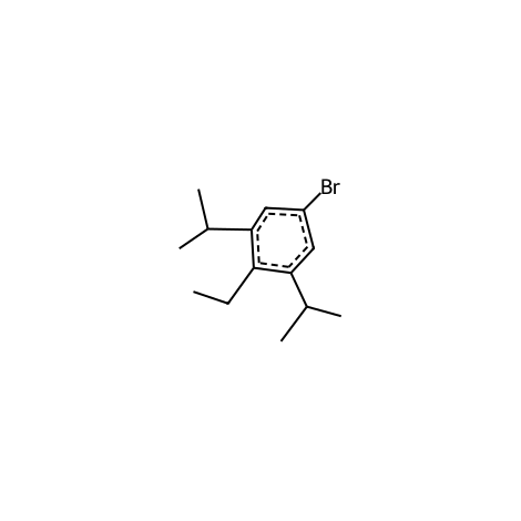 CCc1c(C(C)C)cc(Br)cc1C(C)C